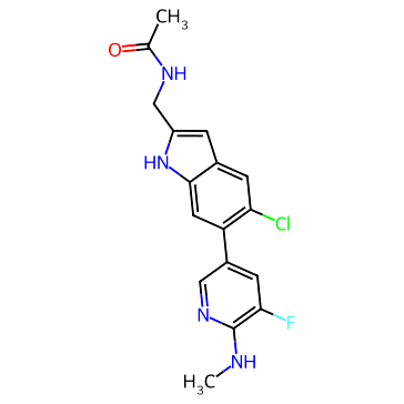 CNc1ncc(-c2cc3[nH]c(CNC(C)=O)cc3cc2Cl)cc1F